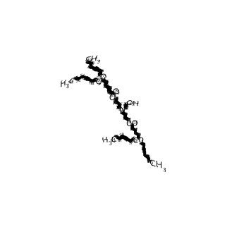 CCCCC#CCCOC(CCCCC(=O)OCCCCN(CCO)CCCCOC(=O)CCCCC(OCCC#CCCCC)OCCC#CCCCC)OCCC#CCCCC